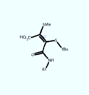 CCNC(=O)/C(SC(C)(C)C)=C(/SC)C(=O)O